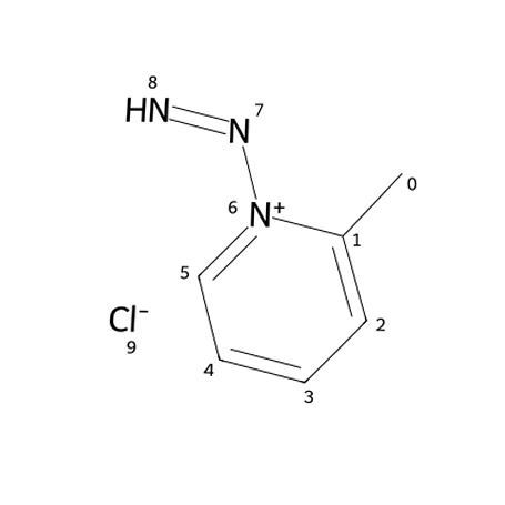 Cc1cccc[n+]1N=N.[Cl-]